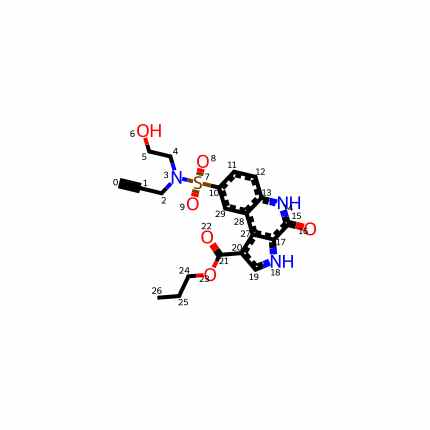 C#CCN(CCO)S(=O)(=O)c1ccc2[nH]c(=O)c3[nH]cc(C(=O)OCCC)c3c2c1